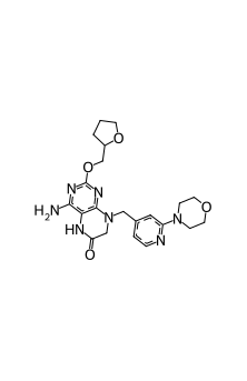 Nc1nc(OCC2CCCO2)nc2c1NC(=O)CN2Cc1ccnc(N2CCOCC2)c1